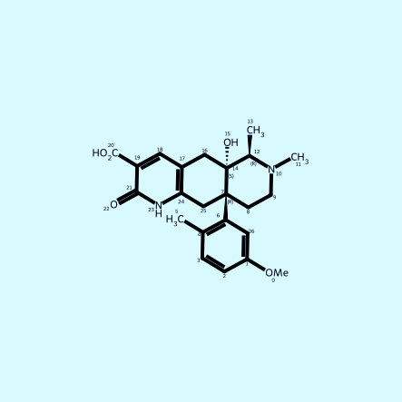 COc1ccc(C)c([C@]23CCN(C)[C@H](C)[C@]2(O)Cc2cc(C(=O)O)c(=O)[nH]c2C3)c1